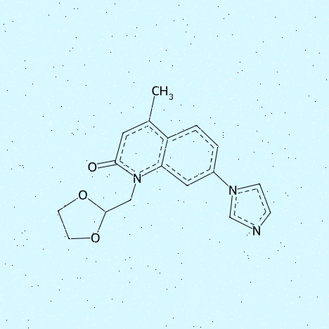 Cc1cc(=O)n(CC2OCCO2)c2cc(-n3ccnc3)ccc12